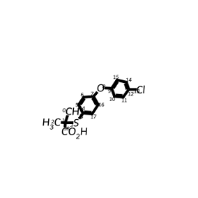 CC(C)(Sc1ccc(Oc2ccc(Cl)cc2)cc1)C(=O)O